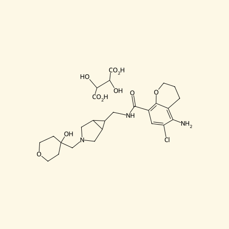 Nc1c(Cl)cc(C(=O)NCC2C3CN(CC4(O)CCOCC4)CC23)c2c1CCCO2.O=C(O)C(O)C(O)C(=O)O